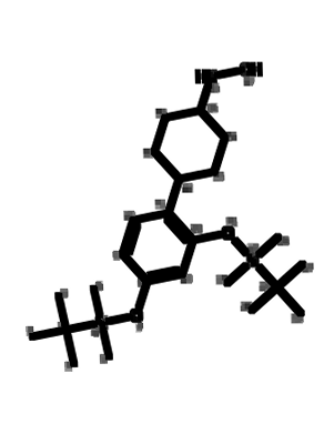 CC(C)(C)[Si](C)(C)Oc1ccc(C2CCC(NO)CC2)c(O[Si](C)(C)C(C)(C)C)c1